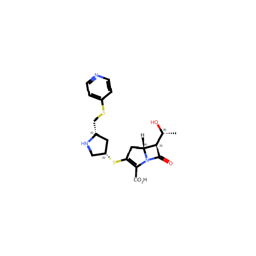 C[C@@H](O)[C@H]1C(=O)N2C(C(=O)O)=C(S[C@@H]3CN[C@H](CSc4ccncc4)C3)C[C@H]12